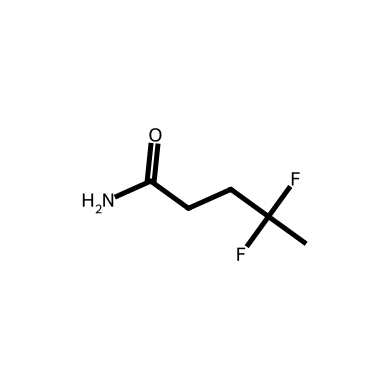 CC(F)(F)CCC(N)=O